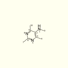 CNc1c(C)nc(C)nc1C